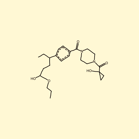 CCCOC(O)CCC(CC)c1ccc(C(=O)N2CCN(C(=O)C3(O)CC3)CC2)cc1